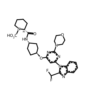 O=C(N[C@H]1CC[C@H](Oc2cc(-n3c(C(F)F)nc4ccccc43)nc(N3CCOCC3)n2)CC1)[C@H]1CCCCN1C(=O)O